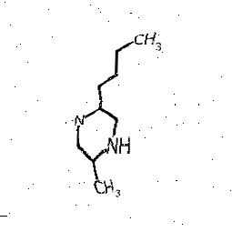 CCCCC1CNC(C)C[N]1